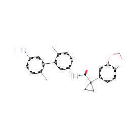 Cc1ccc(N)cc1-c1cc(NC(=O)C2(c3ccc4c(c3)OCO4)CC2)ccc1C